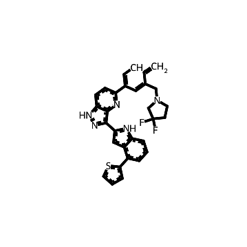 C=C/C(=C\C(=C/C)c1ccc2[nH]nc(-c3cc4c(-c5cccs5)cccc4[nH]3)c2n1)CN1CCC(F)(F)C1